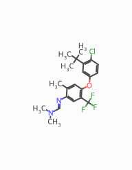 Cc1cc(Oc2ccc(Cl)c(C(C)(C)C)c2)c(C(F)(F)F)cc1/N=C/N(C)C